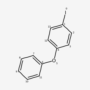 Ic1ccc(Oc2cc[c]cc2)cc1